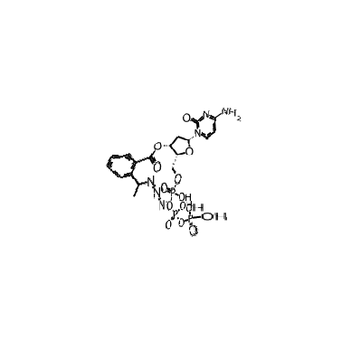 CC(N=[N+]=[N-])c1ccccc1C(=O)O[C@@H]1C[C@H](n2ccc(N)nc2=O)O[C@@H]1COP(=O)(O)OP(=O)(O)OP(=O)(O)O